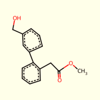 COC(=O)Cc1ccccc1-c1cccc(CO)c1